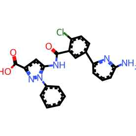 Nc1cccc(-c2ccc(Cl)c(C(=O)Nc3cc(C(=O)O)nn3-c3ccccc3)c2)n1